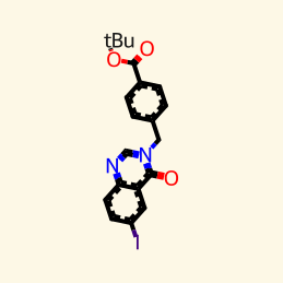 CC(C)(C)OC(=O)c1ccc(Cn2cnc3ccc(I)cc3c2=O)cc1